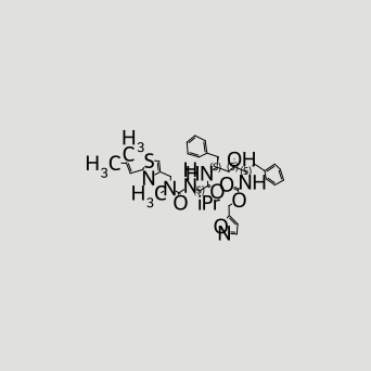 CC(C)=Cc1nc(CN(C)C(=O)N[C@H](C(=O)N[C@@H](Cc2ccccc2)C[C@H](O)[C@H](Cc2ccccc2)NC(=O)OCc2ccno2)C(C)C)cs1